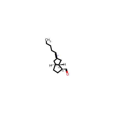 CCCC/C=C1\C[C@@H]2CC[C@H](C=O)[C@H]2C1